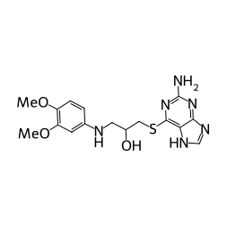 COc1ccc(NCC(O)CSc2nc(N)nc3nc[nH]c23)cc1OC